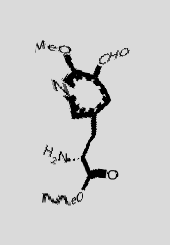 COC(=O)[C@H](N)Cc1cnc(OC)c(C=O)c1